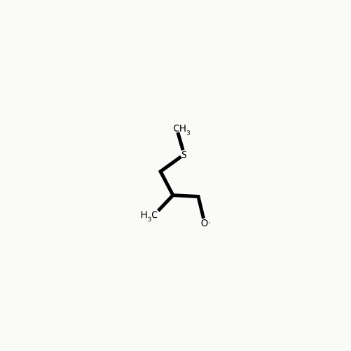 CSCC(C)C[O]